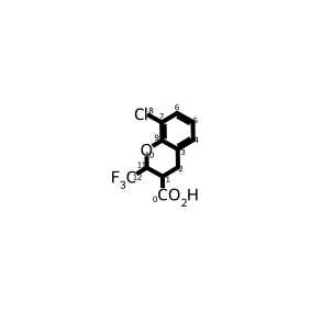 O=C(O)C1Cc2cccc(Cl)c2OC1C(F)(F)F